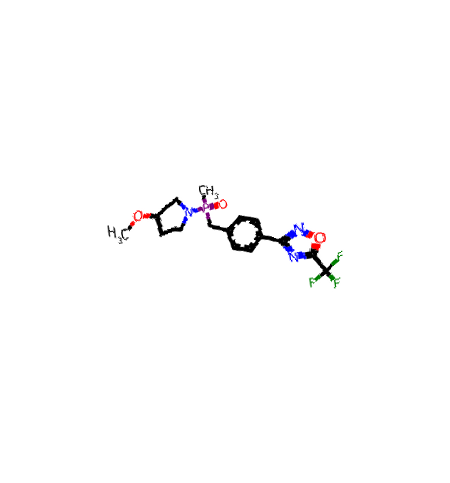 COC1CCN(P(C)(=O)Cc2ccc(-c3noc(C(F)(F)F)n3)cc2)C1